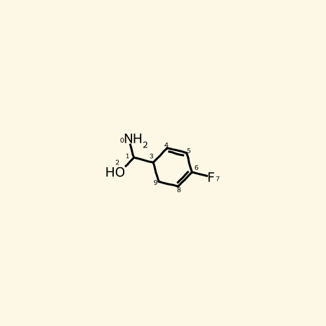 NC(O)C1C=CC(F)=CC1